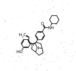 C=CCN1CCC2CCC(C1)N2C(c1ccc(C(=O)NC2CCCCC2)cc1)c1cccc(O)c1